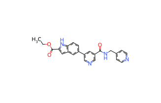 CCOC(=O)c1cc2cc(-c3cncc(C(=O)NCc4ccncc4)c3)ccc2[nH]1